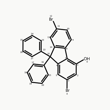 Oc1cc(Br)cc2c1-c1ccc(Br)cc1C2(c1ccccc1)c1ccccc1